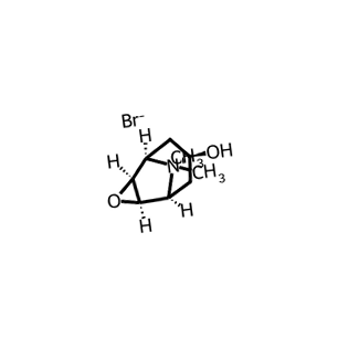 C[N+]1(C)[C@@H]2C[C@@H](O)C[C@H]1[C@H]1O[C@H]12.[Br-]